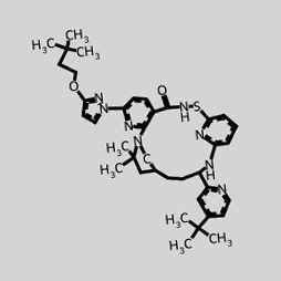 CC(C)(C)CCOc1ccn(-c2ccc3c(n2)N2CC(CCC(c4cc(C(C)(C)C)ccn4)Nc4cccc(n4)SNC3=O)CC2(C)C)n1